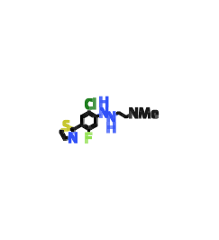 CNCCNNc1cc(F)c(-c2nccs2)cc1Cl